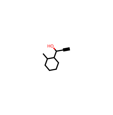 C#CC(O)C1CCCCC1C